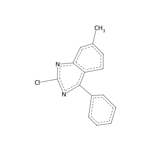 Cc1ccc2c(-c3ccccc3)nc(Cl)nc2c1